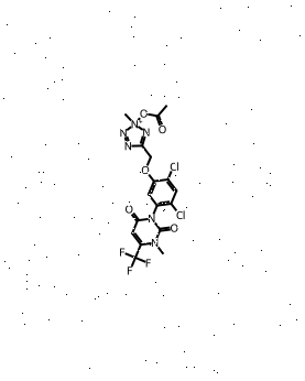 CC(=O)O[N+]1(C)N=NC(COc2cc(-n3c(=O)cc(C(F)(F)F)n(C)c3=O)c(Cl)cc2Cl)=N1